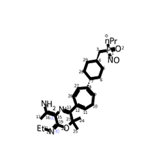 CCCP(=O)(C[C@H]1CC[C@H](C2=CCC=C(C3=NC(=C(/C)N)/C(=N\CC)OC3(C)C)C=C2)CC1)N=O